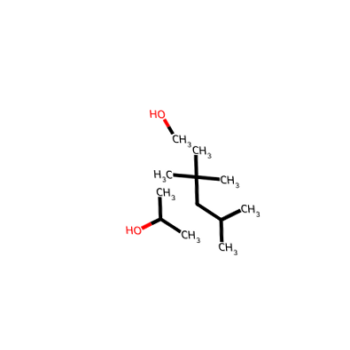 CC(C)CC(C)(C)C.CC(C)O.CO